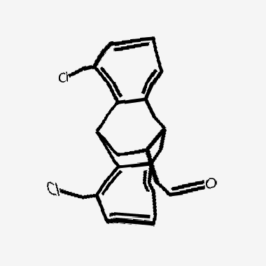 O=CC1CC2c3c(Cl)cccc3C1c1cccc(Cl)c12